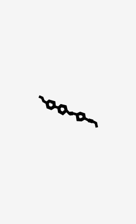 CCC#Cc1ccc(C#Cc2ccc(-c3ccc(CCC)cc3)cc2)cc1